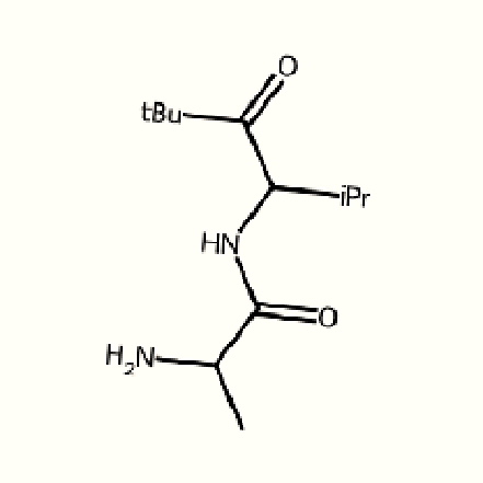 CC(N)C(=O)NC(C(=O)C(C)(C)C)C(C)C